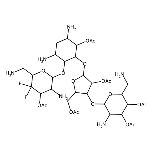 CC(=O)OCC1OC(OC2C(OC(C)=O)C(N)CC(N)C2OC2OC(CN)C(F)(F)C(OC(C)=O)C2N)C(OC(C)=O)C1OC1OC(CN)C(OC(C)=O)C(OC(C)=O)C1N